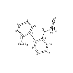 Cc1ccccc1-c1ccccc1C[PH2]=O